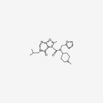 Cc1oc2ncn(CC(C)C)c(=O)c2c1C(=O)N(Cc1ccco1)C1CCN(C)CC1